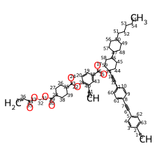 C#Cc1ccc(C#Cc2ccc(C#CC3(OC(=O)c4ccc(OC(=O)C5CCC(C(=O)OCOC(=O)C=C)CC5)c(C#C)c4)CCC(C4CCC(CCCCC)CC4)CC3)cc2)cc1